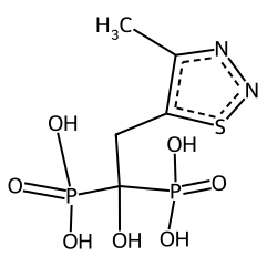 Cc1nnsc1CC(O)(P(=O)(O)O)P(=O)(O)O